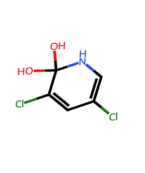 OC1(O)NC=C(Cl)C=C1Cl